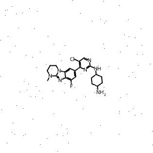 CN1CCCn2c1nc1c(F)cc(-c3nc(NC4CCC(N)CC4)ncc3Cl)cc12